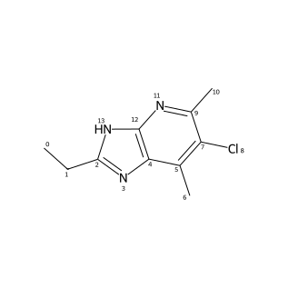 CCc1nc2c(C)c(Cl)c(C)nc2[nH]1